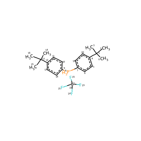 CC(C)(C)c1ccc([PH2+]c2ccc(C(C)(C)C)cc2)cc1.F[B-](F)(F)F